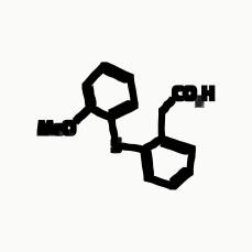 COc1ccccc1Sc1ccccc1CC(=O)O